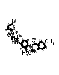 Cc1ccc2nc(C)n(-c3ccc(NC(=O)NS(=O)(=O)c4ccc(Cl)s4)cc3F)c(=O)c2c1